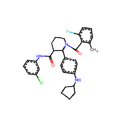 Cc1cccc(F)c1C(=O)N1CCCC(C(=O)Nc2cccc(Cl)c2)C1c1ccc(NC2CCCC2)cc1